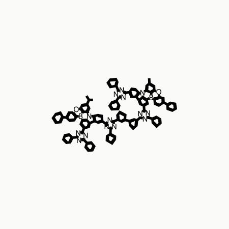 Cc1cc2c3c(c1)-n1c4ccc(-c5nc(-c6ccccc6)nc(-c6ccccc6)n5)cc4c4cc(-c5nc(-c6ccccc6)nc(-c6cccc(-c7cccc(-c8nc(-c9ccccc9)nc(-c9ccc%10c(c9)c9cc(-c%11nc(-c%12ccccc%12)nc(-c%12ccccc%12)n%11)cc%11c9n%10-c9cc(C(C)C)cc%10c9B%11c9ccc(-c%11ccccc%11)cc9O%10)n8)c7)c6)n5)cc(c41)B3c1ccc(-c3ccccc3)cc1O2